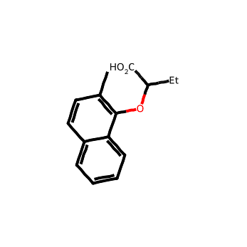 CCC(Oc1c(C)ccc2ccccc12)C(=O)O